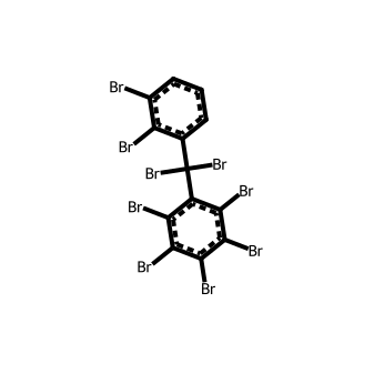 Brc1cccc(C(Br)(Br)c2c(Br)c(Br)c(Br)c(Br)c2Br)c1Br